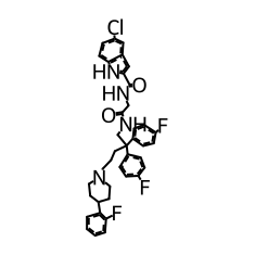 O=C(CNC(=O)c1cc2cc(Cl)ccc2[nH]1)NCC(CCCN1CCC(c2ccccc2F)CC1)(c1ccc(F)cc1)c1ccc(F)cc1